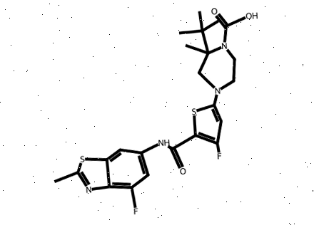 Cc1nc2c(F)cc(NC(=O)c3sc(N4CCN(C(=O)O)C(C)(C(C)(C)C)C4)cc3F)cc2s1